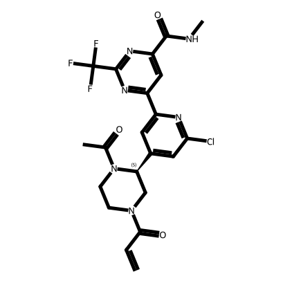 C=CC(=O)N1CCN(C(C)=O)[C@@H](c2cc(Cl)nc(-c3cc(C(=O)NC)nc(C(F)(F)F)n3)c2)C1